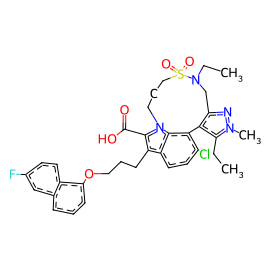 CCc1c2c(nn1C)CN(CC)S(=O)(=O)CCCn1c(C(=O)O)c(CCCOc3cccc4cc(F)ccc34)c3ccc(Cl)c-2c31